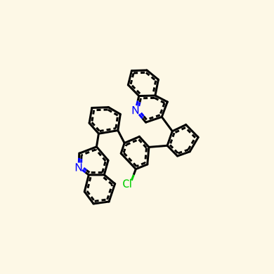 Clc1cc(-c2ccccc2-c2cnc3ccccc3c2)cc(-c2ccccc2-c2cnc3ccccc3c2)c1